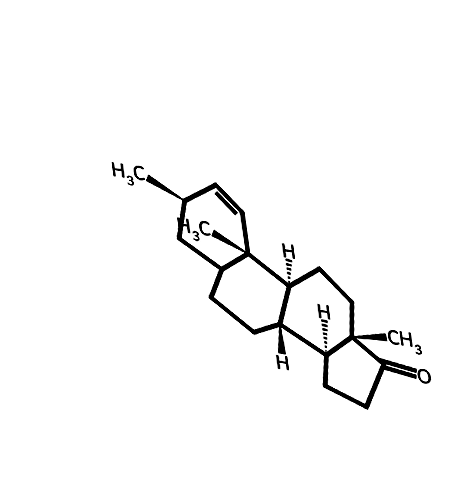 C[C@H]1C=C[C@@]2(C)C(CC[C@@H]3[C@@H]2CC[C@]2(C)C(=O)CC[C@@H]32)C1